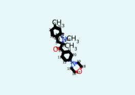 Cc1ccc(CC(C)(C(=O)c2ccc(N3CCOCC3)cc2)N(C)C)cc1